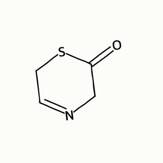 O=C1CN=CCS1